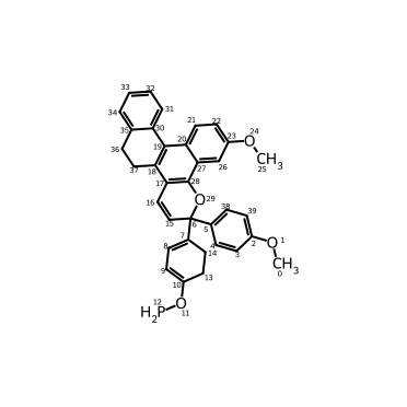 COc1ccc(C2(C3=CC=C(OP)CC3)C=Cc3c4c(c5ccc(OC)cc5c3O2)-c2ccccc2CC4)cc1